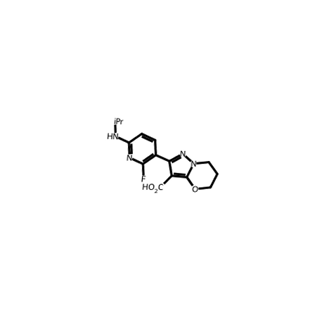 CC(C)Nc1ccc(-c2nn3c(c2C(=O)O)OCCC3)c(F)n1